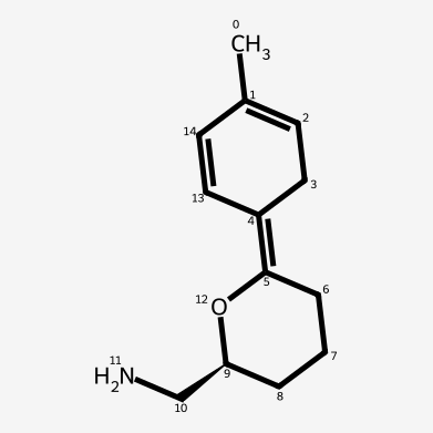 CC1=CC/C(=C2\CCC[C@@H](CN)O2)C=C1